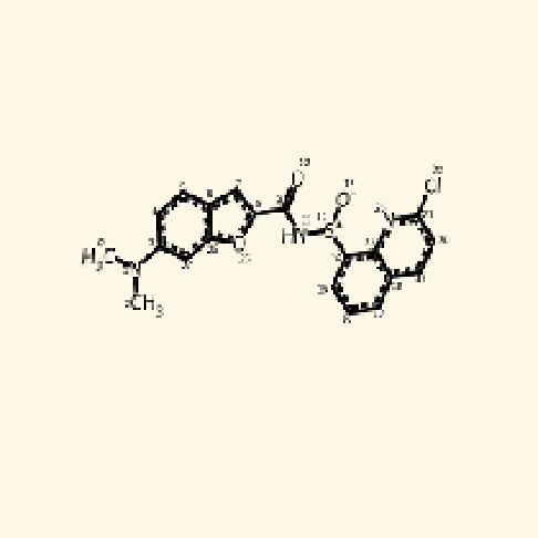 CN(C)c1ccc2cc(C(=O)N[S+]([O-])c3cccc4ccc(Cl)nc34)oc2c1